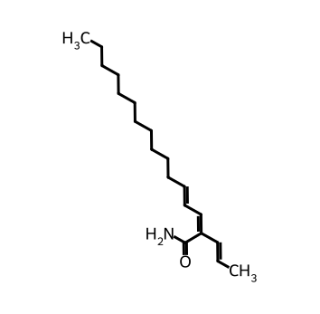 C/C=C/C(=C/C=C/CCCCCCCCCCC)C(N)=O